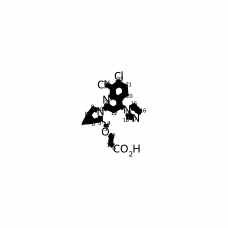 O=C(O)CCOC[C@@H]1C2CC2CN1c1cc(-n2ccnc2)c2ccc(Cl)c(Cl)c2n1